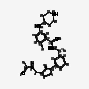 CC(=O)NCc1ccc(-c2cccc([C@@H](C)NC(=O)c3cc(NC4CCNCC4)ccc3C)c2)s1